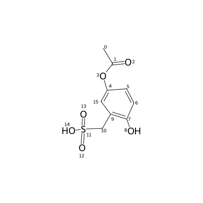 CC(=O)Oc1ccc(O)c(CS(=O)(=O)O)c1